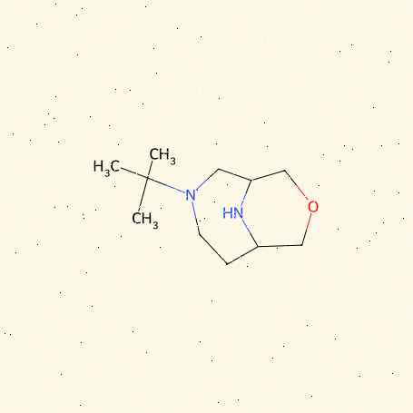 CC(C)(C)N1CCC2COCC(C1)N2